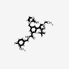 CCn1cc(-c2cc(Cn3ccoc3=N)cc(C(=O)NCc3ccc(F)c(C)c3)c2)c(C(F)(F)F)n1